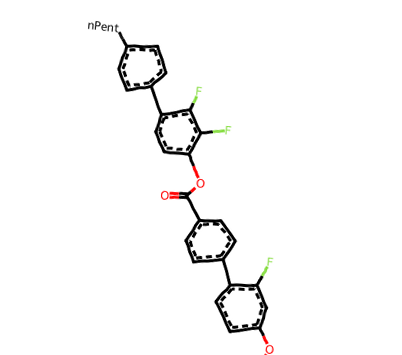 CCCCCc1ccc(-c2ccc(OC(=O)c3ccc(-c4ccc(OCC)cc4F)cc3)c(F)c2F)cc1